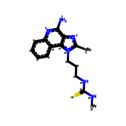 CCCCc1nc2c(N)nc3ccccc3c2n1CCCNC(=S)NCCC